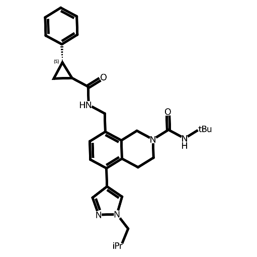 CC(C)Cn1cc(-c2ccc(CNC(=O)C3C[C@@H]3c3ccccc3)c3c2CCN(C(=O)NC(C)(C)C)C3)cn1